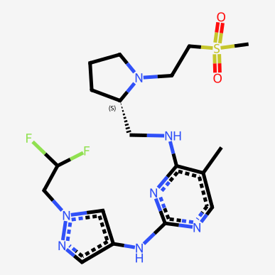 Cc1cnc(Nc2cnn(CC(F)F)c2)nc1NC[C@@H]1CCCN1CCS(C)(=O)=O